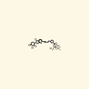 CC(C)(C)OC(=O)N1CCC(/C=C/C#Cc2ccc3c(n2)CN(C2CCC(=O)NC2=O)C3=O)C1